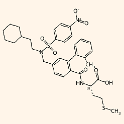 CSCC[C@H](NC(=O)c1ccc(CN(CCC2CCCCC2)S(=O)(=O)c2ccc([N+](=O)[O-])cc2)cc1-c1ccccc1C)C(=O)O